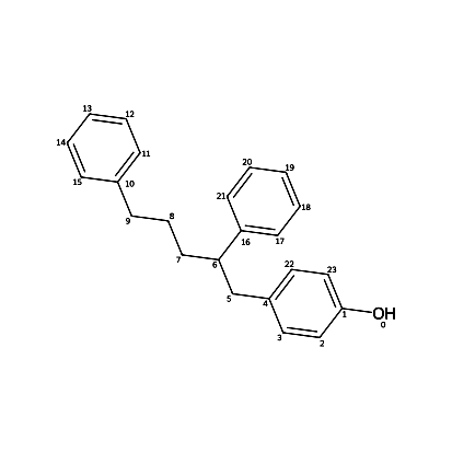 Oc1ccc(CC(CCCc2ccccc2)c2ccccc2)cc1